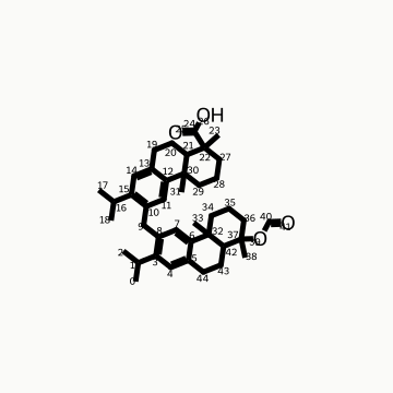 CC(C)c1cc2c(cc1Cc1cc3c(cc1C(C)C)CCC1C(C)(C(=O)O)CCCC31C)C1(C)CCCC(C)(OC=O)C1CC2